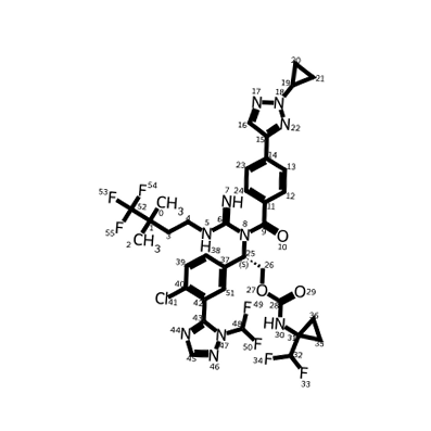 CC(C)(CCNC(=N)N(C(=O)c1ccc(-c2cnn(C3CC3)n2)cc1)[C@H](COC(=O)NC1(C(F)F)CC1)c1ccc(Cl)c(-c2ncnn2C(F)F)c1)C(F)(F)F